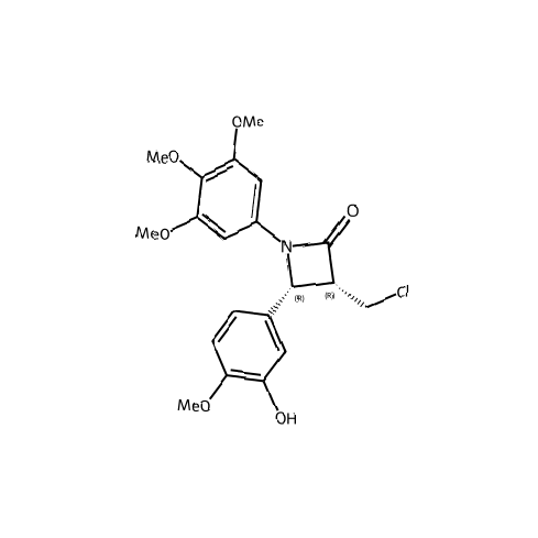 COc1ccc([C@H]2[C@@H](CCl)C(=O)N2c2cc(OC)c(OC)c(OC)c2)cc1O